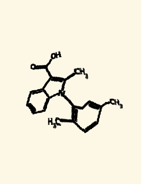 Cc1ccc(C)c(-n2c(C)c(C(=O)O)c3ccccc32)c1